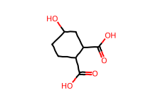 O=C(O)C1CCC(O)CC1C(=O)O